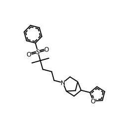 CC(C)(CCCN1CC2CC1CC2c1ccco1)S(=O)(=O)c1ccccc1